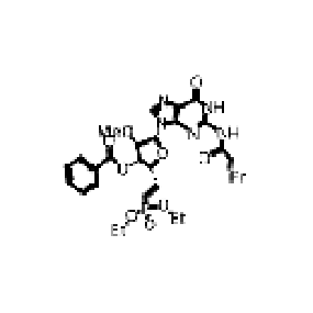 CCOP(=O)(/C=C/[C@H]1O[C@@H](n2cnc3c(=O)[nH]c(NC(=O)CC(C)C)nc32)[C@H](OC)[C@@H]1OC(=O)c1ccccc1)OCC